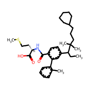 CCC(c1ccc(C(=O)N[C@@H](CCSC)C(=O)O)c(-c2ccccc2C)c1)C(C)(C)CCCC1CCCCC1